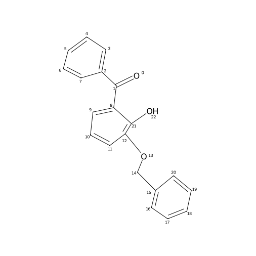 O=C(c1ccccc1)c1cccc(OCc2ccccc2)c1O